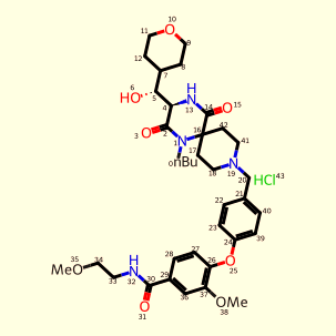 CCCCN1C(=O)[C@@H]([C@H](O)C2CCOCC2)NC(=O)C12CCN(Cc1ccc(Oc3ccc(C(=O)NCCOC)cc3OC)cc1)CC2.Cl